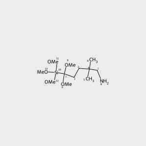 COC(CCC(C)(C)CN)(OC)[Si](OC)(OC)OC